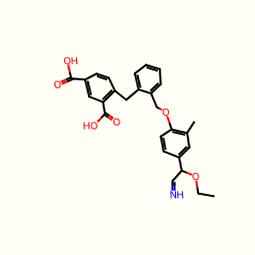 CCOC(C=N)c1ccc(OCc2ccccc2Cc2ccc(C(=O)O)cc2C(=O)O)c(C)c1